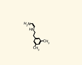 Cc1cc(C)cc(CCN/C=C\N)c1